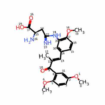 COc1ccc(OC)c(C(=O)C(C)=Cc2ccc(OC)c(NC(=N)CC(N)C(=O)O)c2)c1